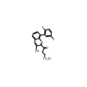 CCOC(=O)CCC(=O)c1nc2c(-c3cc(F)ccc3F)cccc2cc1O